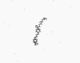 CC(C)CCOCCCC(=O)N1CCC(CCCCN2CCN(C(C)C)CC2)CC1